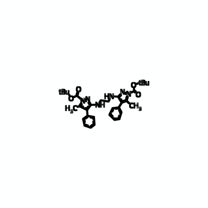 Cc1c(-c2ccccc2)c(NCCNc2nn(C(=O)OC(C)(C)C)c(C)c2-c2ccccc2)nn1C(=O)OC(C)(C)C